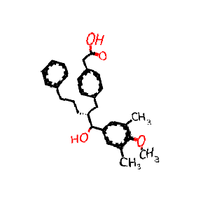 COc1c(C)cc(C(O)[C@H](CCCc2ccccc2)Cc2ccc(CC(=O)O)cc2)cc1C